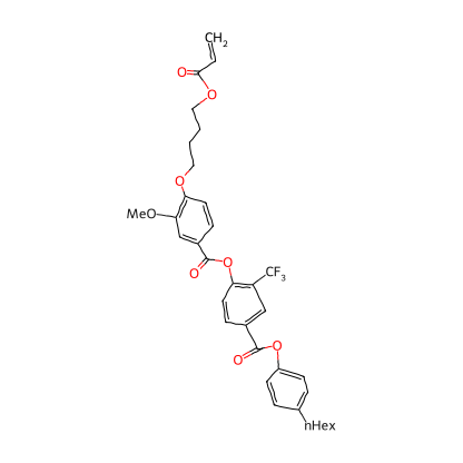 C=CC(=O)OCCCCOc1ccc(C(=O)Oc2ccc(C(=O)Oc3ccc(CCCCCC)cc3)cc2C(F)(F)F)cc1OC